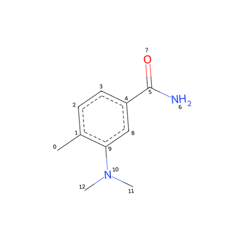 Cc1ccc(C(N)=O)cc1N(C)C